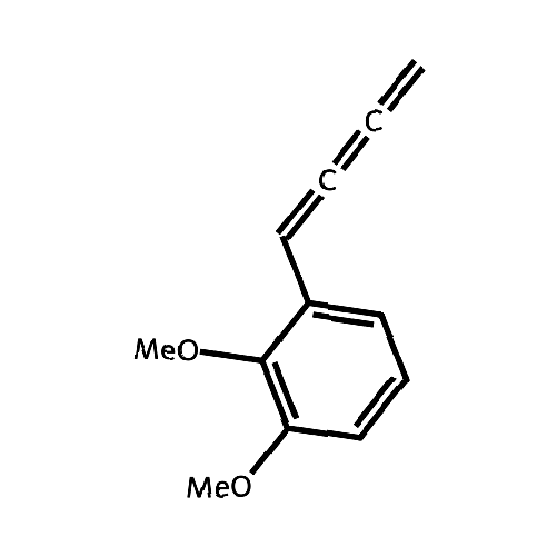 C=C=C=Cc1cccc(OC)c1OC